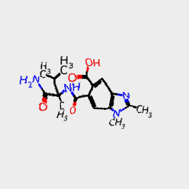 Cc1nc2cc(C(=O)O)c(C(=O)NC(C)(C(N)=O)C(C)C)cc2n1C